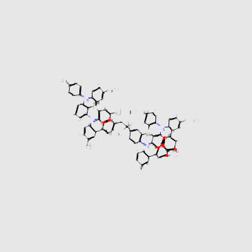 CC(C)(C)c1ccc(-c2cc(C(C)(C)C)ccc2N2c3ccc(C(C)(C)C)cc3B3c4cc(C(C)(C)Cc5ccc(-c6cc(C(C)(C)C)ccc6N6c7ccc(C(C)(C)C)cc7B7c8cc(C(C)(C)C)ccc8N(c8ccc(C(C)(C)C)cc8)c8cccc6c87)cc5)ccc4N(c4ccc(C(C)(C)C)cc4-c4ccc(C(C)(C)C)cc4)c4cccc2c43)cc1